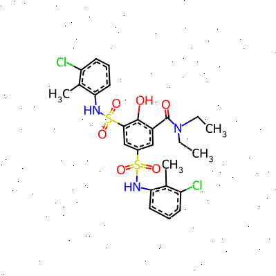 CCN(CC)C(=O)c1cc(S(=O)(=O)Nc2cccc(Cl)c2C)cc(S(=O)(=O)Nc2cccc(Cl)c2C)c1O